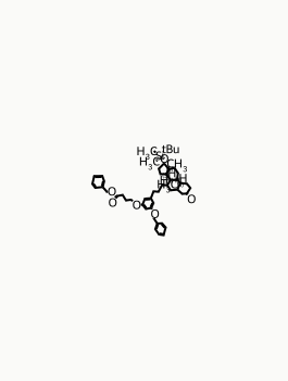 CC(C)(C)[Si](C)(C)OC1CC[C@H]2[C@@H]3C(CCCc4cc(OCCCC(=O)OCc5ccccc5)cc(OCc5ccccc5)c4)CC4CC(=O)CC[C@]4(C)[C@@H]3CC[C@]12C